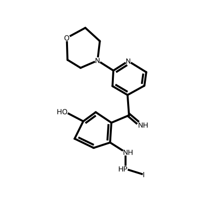 N=C(c1ccnc(N2CCOCC2)c1)c1cc(O)ccc1NPI